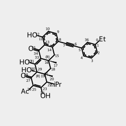 CCc1cccc(C#Cc2ccc(O)c3c2C[C@]2(C)C[C@]4(C)C(C(C)C)C(O)=C(C(C)=O)C(=O)[C@]4(O)C(O)=C2C3=O)c1